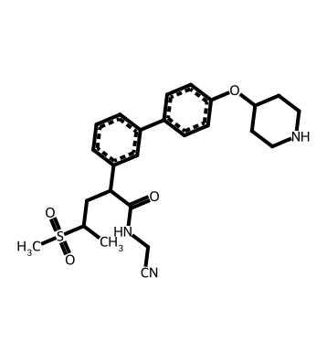 CC(CC(C(=O)NCC#N)c1cccc(-c2ccc(OC3CCNCC3)cc2)c1)S(C)(=O)=O